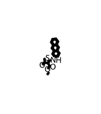 CCOC(=O)C1=C(Nc2ccc3cc4ccccc4cc3c2)SCC1=O